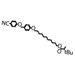 CC(C(=O)OCCCCCCCCCCCOc1ccc(COc2ccc(C#N)cc2)cc1)C(C)(C)C